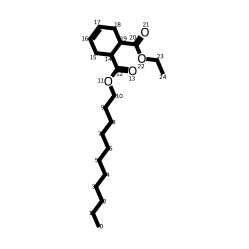 CCCCCCCCCCCOC(=O)C1CC=CCC1C(=O)OCC